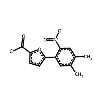 Cc1cc(-c2ccc(C(=O)Cl)o2)c([N+](=O)[O-])cc1C